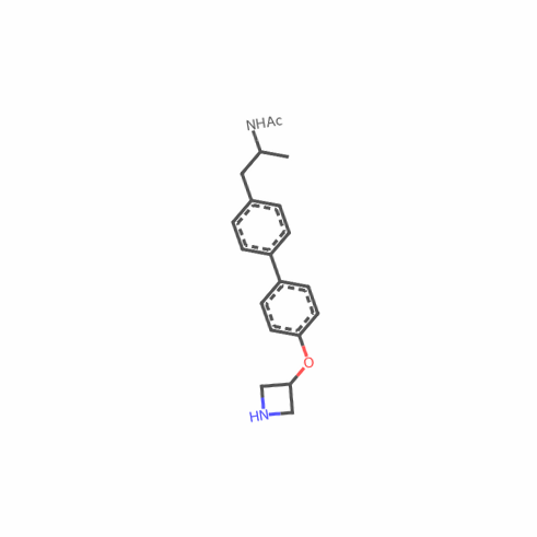 CC(=O)NC(C)Cc1ccc(-c2ccc(OC3CNC3)cc2)cc1